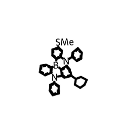 CSc1ccc2c(c1)N(c1ccccc1)c1cc(C3CCCCC3)cc3c1B2c1ccccc1N3c1ccccc1